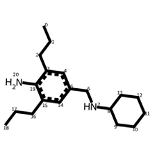 CCCc1cc(CNC2CCCCC2)cc(CCC)c1N